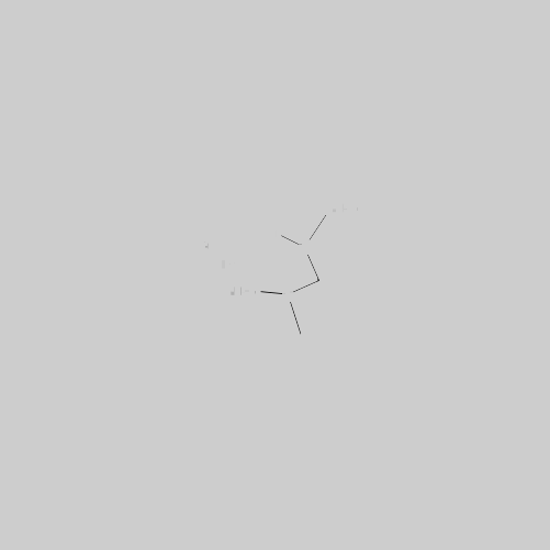 Br.Br.CCCCCCP(CC)CP(CC)CCCCCC